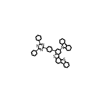 c1ccc(-c2nc(-c3ccccc3)nc(-c3ccc(-c4cc(-n5c6ccccc6c6ccccc65)cc5c4sc4ccc6c7ccccc7sc6c45)cc3)n2)cc1